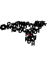 CC(C)[Si]1(C(C)C)OC[C@H]2O[C@@H](n3cc(F)c4c(=O)[nH]cnc43)[C@H](OP(=S)(OCCC#N)OC[C@H]3O[C@@H](n4cnc5c(NC(=O)c6ccccc6)ncnc54)[C@H](O[Si](C)(C)C(C)(C)C)[C@@H]3O[PH](=O)O)[C@@H]2O[Si](C(C)C)(C(C)C)O1